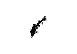 C[C@H]1C[C@H]2[C@@H]3CCC4=CC(=O)C=C[C@]4(C)[C@@]3(Cl)[C@@H](O)C[C@]2(C)C1(O)C(=O)COC(=O)CNC(=O)CCCO[N+](=O)[O-]